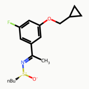 CCCC[S@+]([O-])/N=C(\C)c1cc(F)cc(OCC2CC2)c1